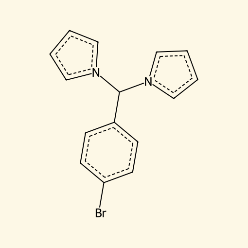 Brc1ccc(C(n2cccc2)n2cccc2)cc1